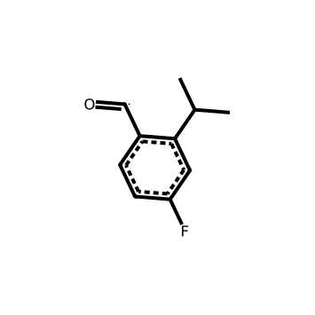 CC(C)c1cc(F)ccc1[C]=O